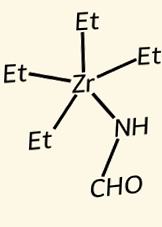 C[CH2][Zr]([CH2]C)([CH2]C)([CH2]C)[NH]C=O